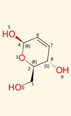 OC[C@H]1O[C@@H](O)C=C[C@@H]1O